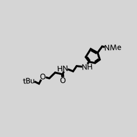 CNCc1ccc(NCCNC(=O)CCOCC(C)(C)C)cc1